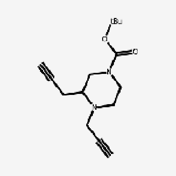 C#CCC1CN(C(=O)OC(C)(C)C)CCN1CC#C